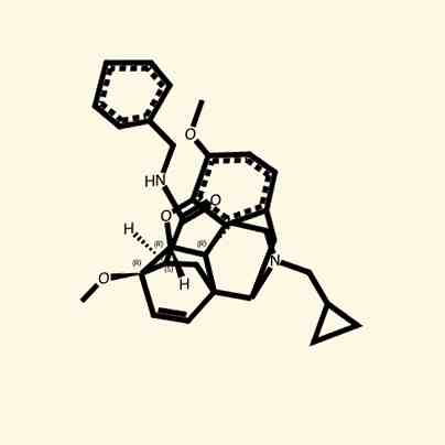 COc1ccc2c3c1O[C@H]1[C@@]4(OC)C=CC5(C[C@@H]4C(=O)NCc4ccccc4)C(C2)N(CC2CC2)CC[C@@]315